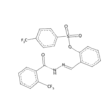 O=C(NN=Cc1ccccc1OS(=O)(=O)c1ccc(C(F)(F)F)cc1)c1ccccc1C(F)(F)F